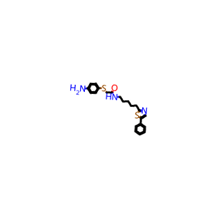 Nc1ccc(SCC(=O)NCCCCCc2ncc(-c3ccccc3)s2)cc1